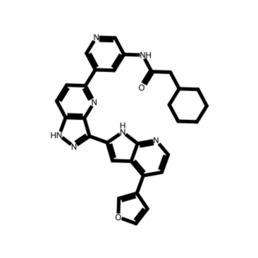 O=C(CC1CCCCC1)Nc1cncc(-c2ccc3[nH]nc(-c4cc5c(-c6ccoc6)ccnc5[nH]4)c3n2)c1